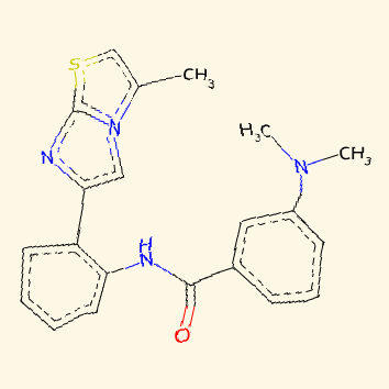 Cc1csc2nc(-c3ccccc3NC(=O)c3cccc(N(C)C)c3)cn12